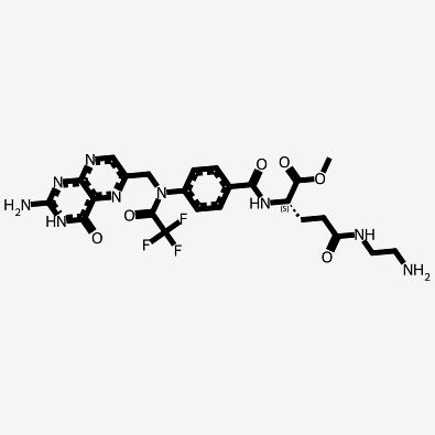 COC(=O)[C@H](CCC(=O)NCCN)NC(=O)c1ccc(N(Cc2cnc3nc(N)[nH]c(=O)c3n2)C(=O)C(F)(F)F)cc1